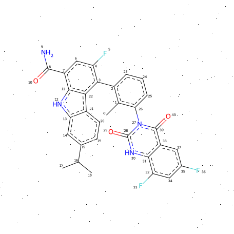 Cc1c(-c2c(F)cc(C(N)=O)c3[nH]c4cc(C(C)C)ccc4c23)cccc1-n1c(=O)[nH]c2c(F)cc(F)cc2c1=O